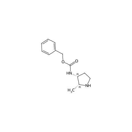 C[C@H]1NCC[C@H]1NC(=O)OCc1ccccc1